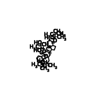 CC(C)(CCC[C@H](C1CCC2[C@@H](O[Si](C)(C)C(C)(C)C)CCC[C@]12C)C(CC(O)C(C)(C)O)S(=O)(=O)c1ccccc1)O[Si](C)(C)C